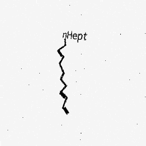 C=CC=CCCCCC=CCCCCCCCC